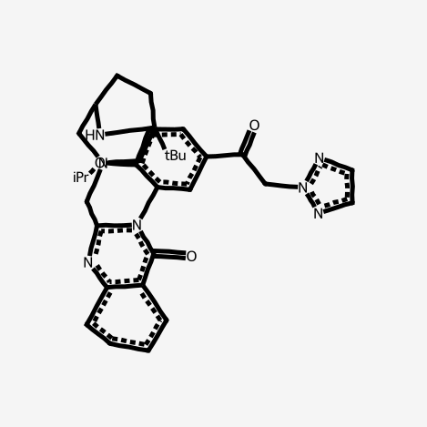 CC(C)Oc1ccc(C(=O)Cn2nccn2)cc1-n1c(CN2CC3CCC(C(C)(C)C)(C2)N3)nc2ccccc2c1=O